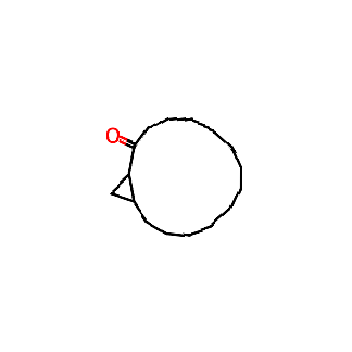 O=C1CCCCCCCCCCCCC2CC12